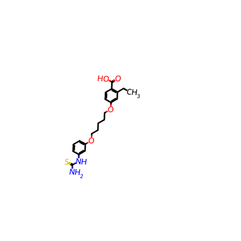 CCc1cc(OCCCCCOc2cccc(NC(N)=S)c2)ccc1C(=O)O